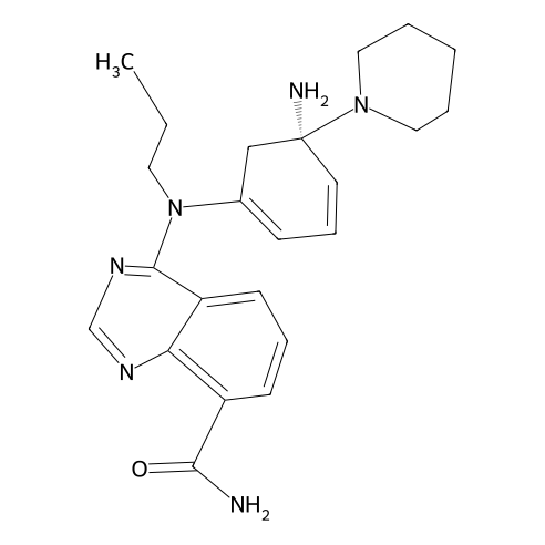 CCCN(C1=CC=C[C@](N)(N2CCCCC2)C1)c1ncnc2c(C(N)=O)cccc12